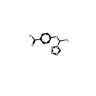 CCC(=O)c1ccc(OC(C)n2cnnn2)cc1